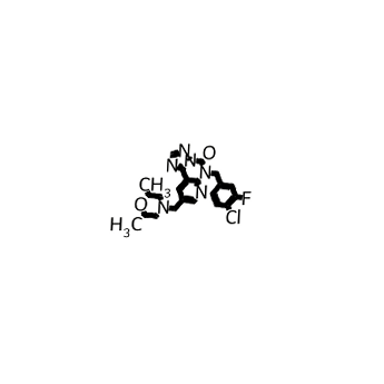 CC1CN(Cc2cnc3c(c2)c2ncnn2c(=O)n3Cc2ccc(Cl)c(F)c2)CC(C)O1